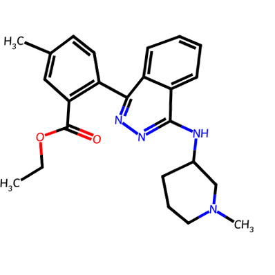 CCOC(=O)c1cc(C)ccc1-c1nnc(NC2CCCN(C)C2)c2ccccc12